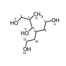 CC(CO)CO.OCCCCCO